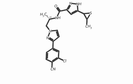 CC1SC1c1cc(C(=O)N[C@@H](C)Cn2ccc(-c3ccc(C#N)c(Cl)c3)n2)n[nH]1